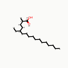 CCCCCCCCCCCCC(CC)CCC(C)C(=O)O